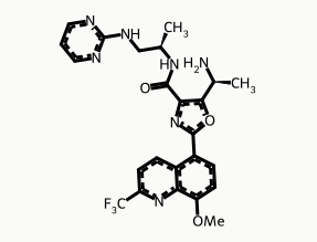 COc1ccc(-c2nc(C(=O)N[C@H](C)CNc3ncccn3)c([C@H](C)N)o2)c2ccc(C(F)(F)F)nc12